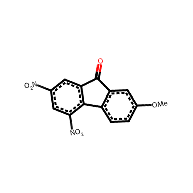 COc1ccc2c(c1)C(=O)c1cc([N+](=O)[O-])cc([N+](=O)[O-])c1-2